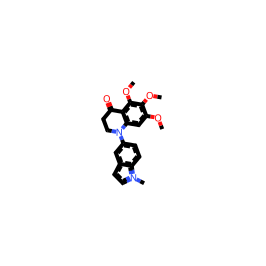 COc1cc2c(c(OC)c1OC)C(=O)CCN2c1ccc2c(ccn2C)c1